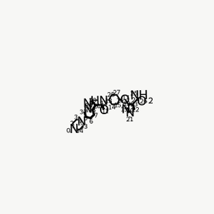 CN1CCN(c2ccc3c(C(=O)N[C@H]4CC[C@H](Oc5nn(C)cc5C(N)=O)CC4)cnn3c2)CC1